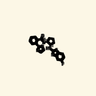 O=C(N[C@@H]1CCC[C@@H]1Nc1nc2cc(F)ccc2s1)c1ccccc1-n1nccn1